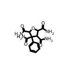 NC(=O)C1OC(C(N)=O)C(C(N)=O)(c2ccccc2)C1C(N)=O